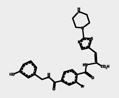 O=C(O)C(=Cc1cnc(N2CCNCC2)s1)NC(=O)c1ccc(C(=O)NCc2cccc(O)c2)cc1Br